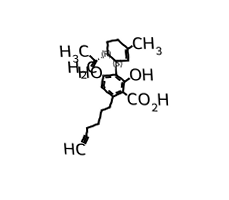 C#CCCCCc1cc(O)c([C@@H]2C=C(C)CC[C@H]2C(=C)C)c(O)c1C(=O)O